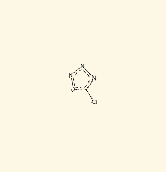 Clc1nnno1